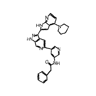 O=C(Cc1ccccc1)Nc1cncc(-c2cc3c(-c4cc5c(N6CCCCC6)ccnc5[nH]4)n[nH]c3cn2)c1